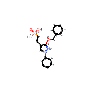 O=P(O)(O)C=Cc1cn(-c2ccccc2)nc1OCc1ccccc1